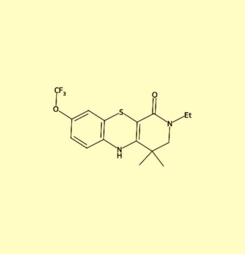 CCN1CC(C)(C)C2=C(Sc3cc(OC(F)(F)F)ccc3N2)C1=O